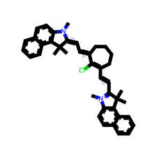 CN1/C(=C/C=C2\CCCCC(/C=C/C3=[N+](C)c4ccc5ccccc5c4C3(C)C)=C2Cl)C(C)(C)c2c1ccc1ccccc21